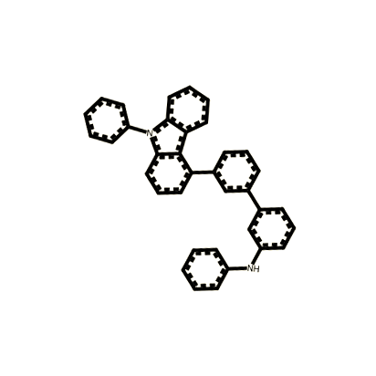 c1ccc(Nc2cccc(-c3cccc(-c4cccc5c4c4ccccc4n5-c4ccccc4)c3)c2)cc1